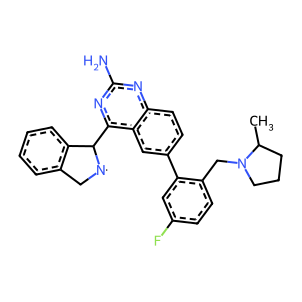 CC1CCCN1Cc1ccc(F)cc1-c1ccc2nc(N)nc(C3[N]Cc4ccccc43)c2c1